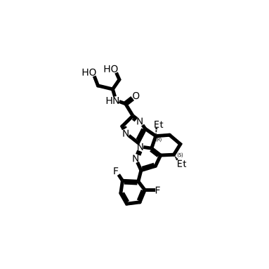 CC[C@H]1CC[C@](CC)(c2cncc(C(=O)NC(CO)CO)n2)c2nnc(-c3c(F)cccc3F)cc21